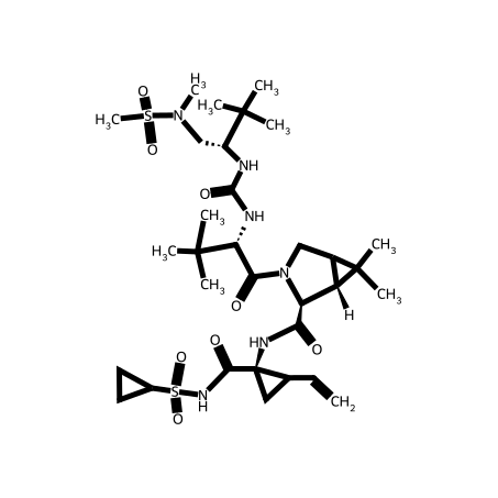 C=CC1C[C@]1(NC(=O)[C@@H]1[C@@H]2C(CN1C(=O)[C@@H](NC(=O)N[C@H](CN(C)S(C)(=O)=O)C(C)(C)C)C(C)(C)C)C2(C)C)C(=O)NS(=O)(=O)C1CC1